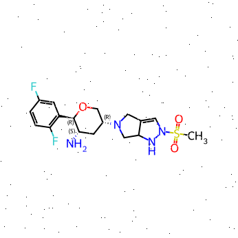 CS(=O)(=O)N1C=C2CN([C@H]3CO[C@H](c4cc(F)ccc4F)[C@@H](N)C3)CC2N1